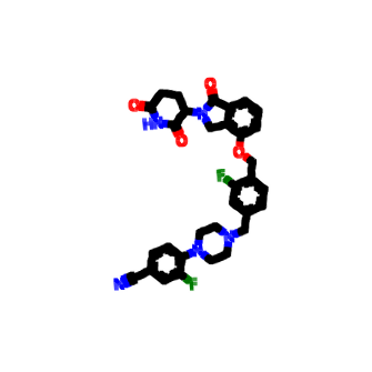 N#Cc1ccc(N2CCN(Cc3ccc(COc4cccc5c4CN(C4CCC(=O)NC4=O)C5=O)c(F)c3)CC2)c(F)c1